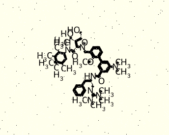 COc1c(CN2O[C@@H](CO)[C@@H]([C@H](C)O)[C@H]2C(=O)N[C@H]2C[C@@H](C)C(C)(C)[C@@H](C)[C@@H]2C)cccc1-c1cc(C(=O)N[C@H](CN=C(N(C)C)N(C)C)Cc2ccccc2)cc(N(C)C)c1